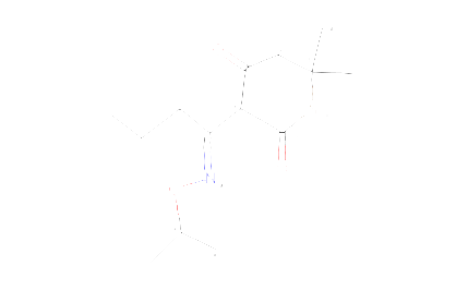 CCCC(=NOC(C)C)C1C(=O)CC(C)(C)SC1=O